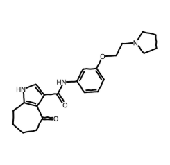 O=C(Nc1cccc(OCCN2CCCC2)c1)c1c[nH]c2c1C(=O)CCCC2